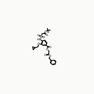 CC(C)(C)OC(=O)CS(=O)(=O)Nc1ccc(C(=O)OCC(=O)OCc2ccccc2)cc1OCC1CC1